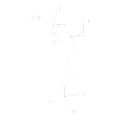 CCC(C)(CC(C)(C)N)OCCOC(C)(C)C